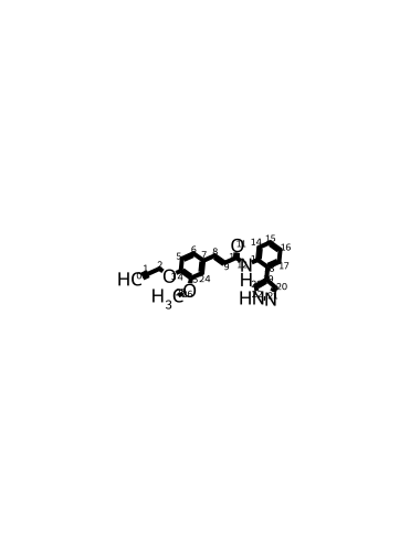 C#CCOc1ccc(/C=C/C(=O)Nc2ccccc2-c2cn[nH]c2)cc1OC